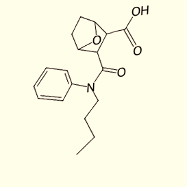 CCCCN(C(=O)C1C2CCC(O2)C1C(=O)O)c1ccccc1